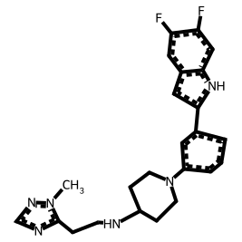 Cn1ncnc1CCNC1CCN(c2cccc(-c3cc4cc(F)c(F)cc4[nH]3)c2)CC1